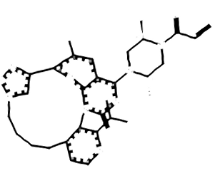 C=CC(=O)N1C[C@H](C)N(c2nc(=O)n3c4nc(c(F)cc24)-c2cn(nn2)CCCCc2ccnc(C(C)C)c2-3)C[C@H]1C